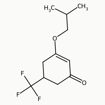 CC(C)COC1=CC(=O)CC(C(F)(F)F)C1